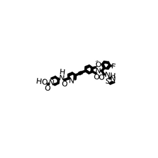 COc1ccc(F)cc1C(C(=O)Nc1nccs1)N1Cc2ccc(C#Cc3ccc(C(=O)NC4CCN(C(=O)O)CC4)nc3)cc2C1=O